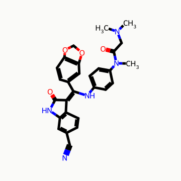 CN(C)CC(=O)N(C)c1ccc(NC(=C2C(=O)Nc3cc(C#N)ccc32)c2ccc3c(c2)OCO3)cc1